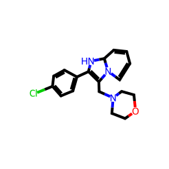 Clc1ccc(C2=C(CN3CCOCC3)N3C=CC=CC3N2)cc1